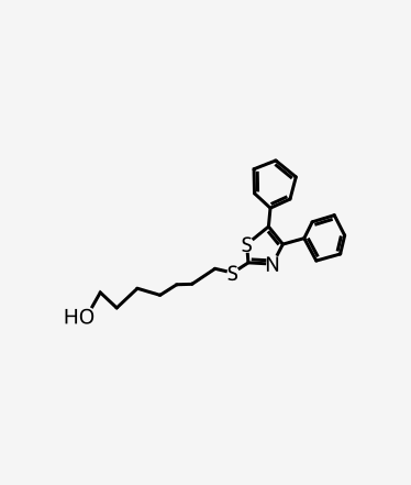 OCCCCCCCSc1nc(-c2ccccc2)c(-c2ccccc2)s1